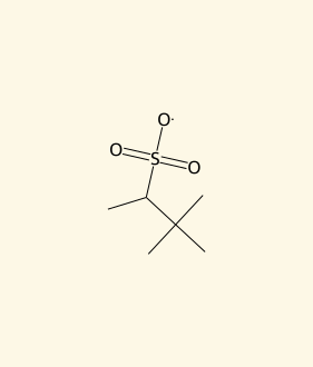 CC(C(C)(C)C)S([O])(=O)=O